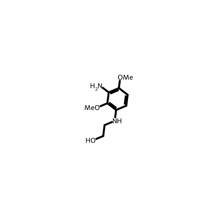 COc1ccc(NCCO)c(OC)c1N